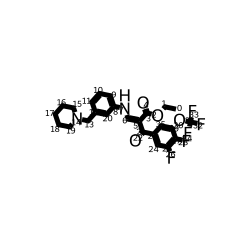 CCOC(=O)C(=CNc1cccc(CN2CCCCC2)c1)C(=O)c1cc(F)c(F)c(OC(F)(F)F)c1